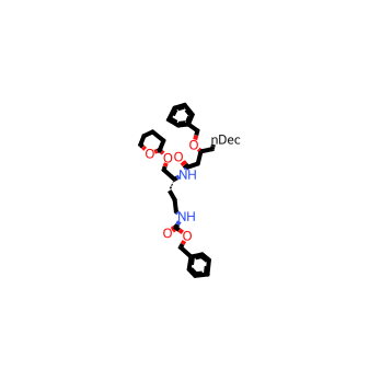 CCCCCCCCCCCC(CC(=O)N[C@H](CCCNC(=O)OCc1ccccc1)COC1CCCCO1)OCc1ccccc1